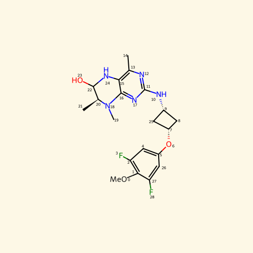 COc1c(F)cc(O[C@H]2C[C@@H](Nc3nc(C)c4c(n3)N(C)[C@@H](C)C(O)N4)C2)cc1F